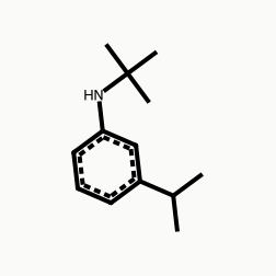 CC(C)c1cccc(NC(C)(C)C)c1